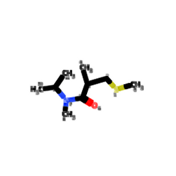 CSCC(C)C(=O)N(C)C(C)C